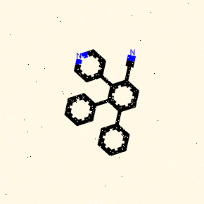 N#Cc1ccc(-c2ccccc2)c(-c2ccccc2)c1-c1ccncc1